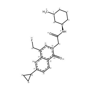 CN1CCC[C@@H](NC(=O)Cn2nc(CF)c3nc(C4CC4)ccc3c2=O)C1